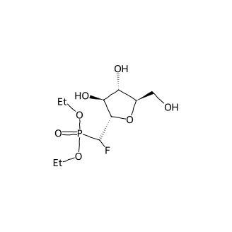 CCOP(=O)(OCC)C(F)[C@H]1O[C@H](CO)[C@@H](O)[C@@H]1O